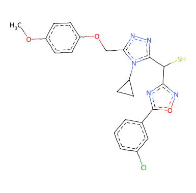 COc1ccc(OCc2nnc(C(S)c3noc(-c4cccc(Cl)c4)n3)n2C2CC2)cc1